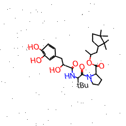 CC(CC1CCC(C)(C)C1(C)C)OC(=O)C1CCCN1C(=O)C(NC(=O)C(O)Cc1ccc(O)c(O)c1)C(C)(C)C